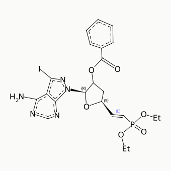 CCOP(=O)(/C=C/[C@@H]1CC(OC(=O)c2ccccc2)[C@H](n2nc(I)c3c(N)ncnc32)O1)OCC